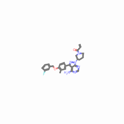 C=CC(=O)N1CCC[C@@H](n2nc(-c3ccc(OCc4cccc(F)c4)c(C)c3)c3c(N)ncnc32)C1